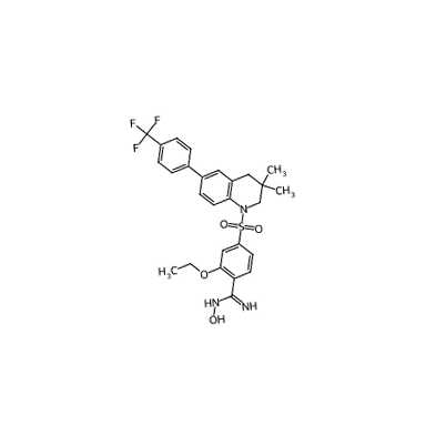 CCOc1cc(S(=O)(=O)N2CC(C)(C)Cc3cc(-c4ccc(C(F)(F)F)cc4)ccc32)ccc1C(=N)NO